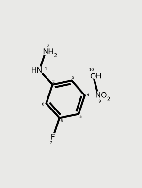 NNc1cccc(F)c1.O=[N+]([O-])O